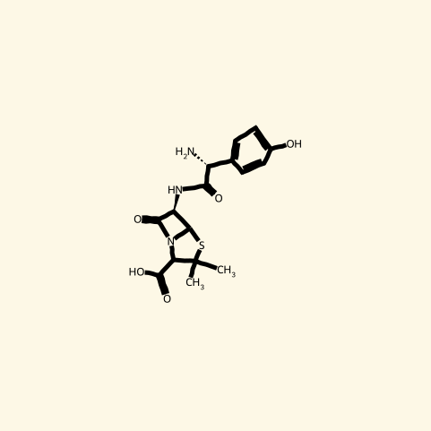 CC1(C)SC2[C@H](NC(=O)[C@H](N)c3ccc(O)cc3)C(=O)N2C1C(=O)O